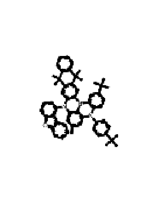 Cc1cc2c3c(c1)N(c1cccc4oc5ccccc5c14)c1cc4c(cc1B3c1cc(C(C)(C)C)ccc1N2c1ccc(C(C)(C)C)cc1)C(C)(C)c1ccccc1C4(C)C